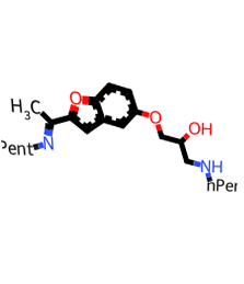 CCCCCN=C(C)c1cc2cc(OCC(O)CNCCCCC)ccc2o1